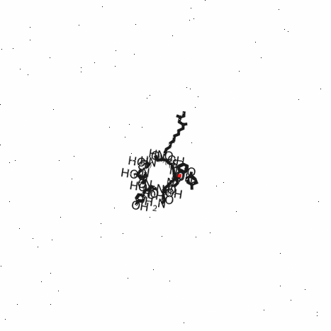 CCC(C)CC(C)CCCCCCCCC(=O)N[C@H]1C[C@@H](O)[C@@H](Sc2ccc(Oc3ccc(C)cc3)cc2)NC(=O)[C@@H]2[C@@H](O)CCN2C(=O)[C@H]([C@H](O)CC(N)=O)NC(=O)[C@H]([C@H](O)[C@@H](O)c2ccc(O)cc2)NC(=O)[C@@H]2C[C@@H](O)CN2C(=O)[C@H]([C@@H](C)O)NC1=O